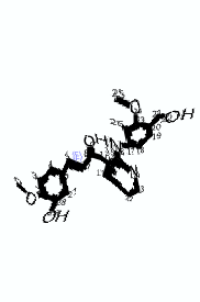 COc1ccc(/C=C/C(=O)c2cccnc2Nc2ccc(CO)c(OC)c2)cc1O